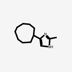 Cc1nc(C2CCCCCCCC2)c[nH]1